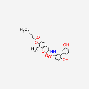 CCCCCC(=O)Oc1ccc2cc(NC(=O)c3ccc(O)c(-c4cccc(O)c4)c3)c(=O)oc2c1C